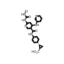 CCNC(=O)Nc1cc(Nc2cccnc2)c(C(=O)Nc2ccc([C@@H]3C[C@H]3C(=O)O)cc2)cn1